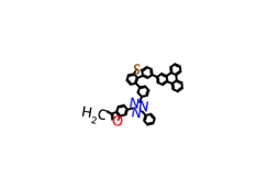 C=Cc1coc2cc(-c3nc(-c4ccccc4)nc(C4C=CC=C(c5cccc6sc7ccc(-c8ccc9c%10ccccc%10c%10ccccc%10c9c8)cc7c56)C4)n3)ccc12